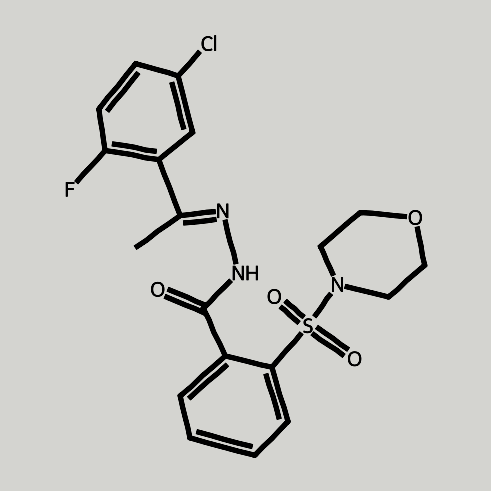 C/C(=N\NC(=O)c1ccccc1S(=O)(=O)N1CCOCC1)c1cc(Cl)ccc1F